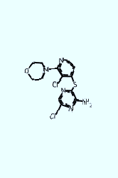 Nc1nc(Cl)cnc1Sc1ccnc(N2CCOCC2)c1Cl